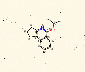 CC(C)Oc1nc2c(c3ccccc13)CCC2